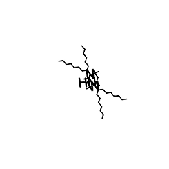 CCCCCCCC(CCCCCC)N1C(C)(C)CC2(C)NC1(C)CC(C)(C)N2C(CCCCCCC)CCCCCCC